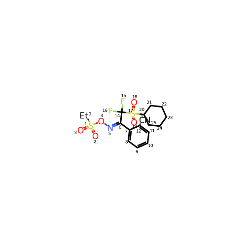 CCS(=O)(=O)ON=C(c1ccccc1C#N)C(F)(F)S(=O)(=O)C1CCCCC1